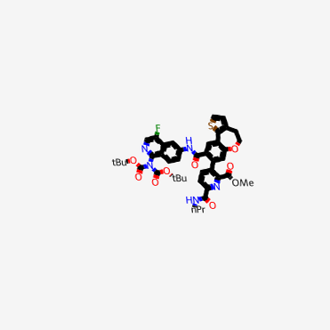 CCCNC(=O)c1ccc(-c2cc3c(cc2C(=O)Nc2ccc4c(N(C(=O)OC(C)(C)C)C(=O)OC(C)(C)C)ncc(F)c4c2)-c2sccc2CCO3)c(C(=O)OC)n1